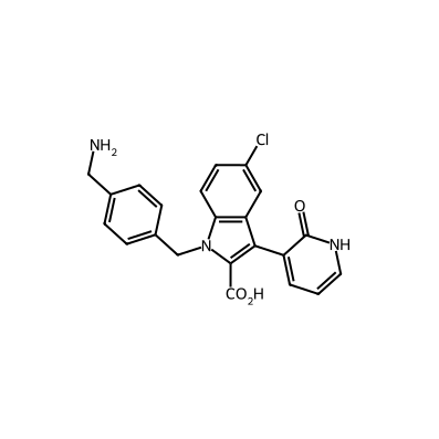 NCc1ccc(Cn2c(C(=O)O)c(-c3ccc[nH]c3=O)c3cc(Cl)ccc32)cc1